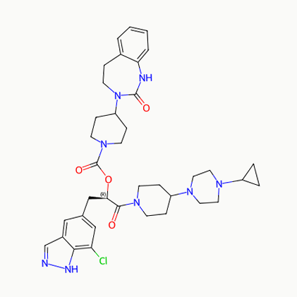 O=C(O[C@H](Cc1cc(Cl)c2[nH]ncc2c1)C(=O)N1CCC(N2CCN(C3CC3)CC2)CC1)N1CCC(N2CCc3ccccc3NC2=O)CC1